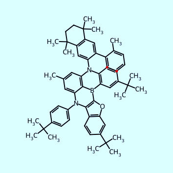 Cc1cc2c3c(c1)N(c1ccc(C(C)(C)C)cc1)c1c(oc4cc(C(C)(C)C)ccc14)B3c1cc(C(C)(C)C)ccc1N2c1cc2c(cc1-c1ccccc1C)C(C)(C)CCC2(C)C